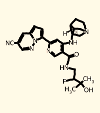 CC(C)(O)C(F)CNC(=O)c1cnc(-c2ccc3cc(C#N)cnn23)cc1N[C@H]1CN2CCC1CC2